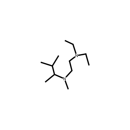 CCN(CC)CCN(C)C(C)C(C)C